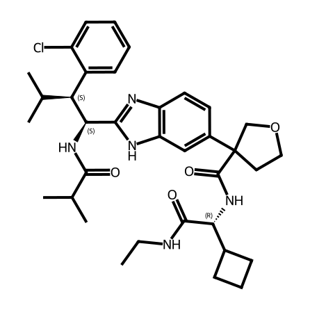 CCNC(=O)[C@H](NC(=O)C1(c2ccc3nc([C@@H](NC(=O)C(C)C)[C@H](c4ccccc4Cl)C(C)C)[nH]c3c2)CCOC1)C1CCC1